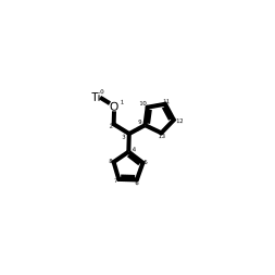 [Ti][O]CC(C1=CC=CC1)C1=CC=CC1